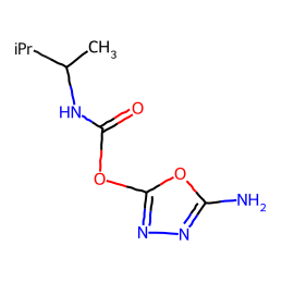 CC(C)C(C)NC(=O)Oc1nnc(N)o1